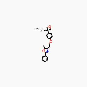 CCOC(=O)CC1(c2ccc(OCCc3nc(-c4ccccc4)oc3C)cc2)COC1